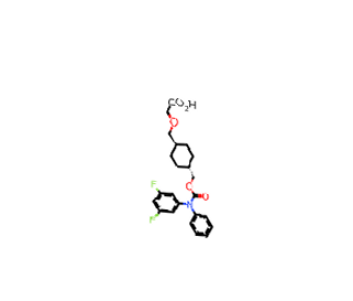 O=C(O)COC[C@H]1CC[C@H](COC(=O)N(c2ccccc2)c2cc(F)cc(F)c2)CC1